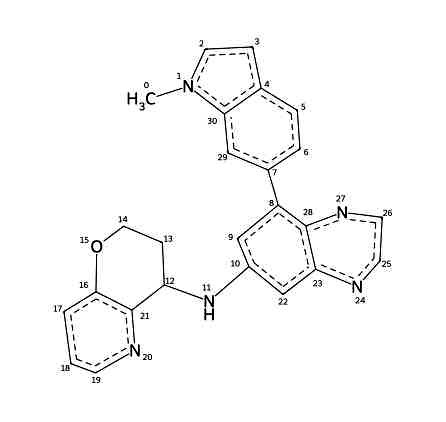 Cn1ccc2ccc(-c3cc(NC4CCOc5cccnc54)cc4nccnc34)cc21